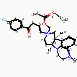 CCCCCCCCCC(=O)OC[N+]1(CCCC(=O)c2ccc(F)cc2)CC[C@H]2[C@@H](C1)c1cccc3c1N2CCN3C.O=C[O-]